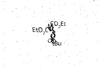 CCOC(=O)c1cc(CN2CCN(C(=O)OC(C)(C)C)CC2)cc(C(=O)OCC)n1